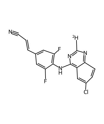 [2H]c1nc(Nc2c(F)cc(C=CC#N)cc2F)c2cc(Cl)ccc2n1